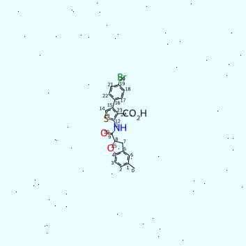 Cc1ccc2c(c1)CC(C(=O)Nc1scc(-c3ccc(Br)cc3)c1C(=O)O)O2